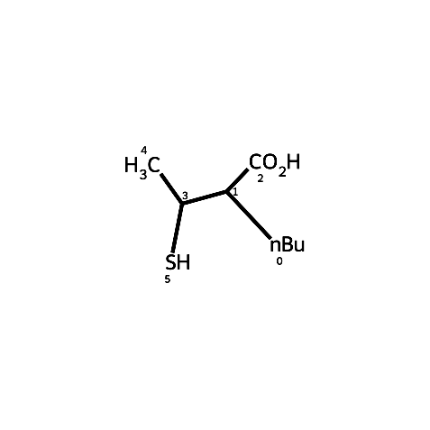 CCCCC(C(=O)O)C(C)S